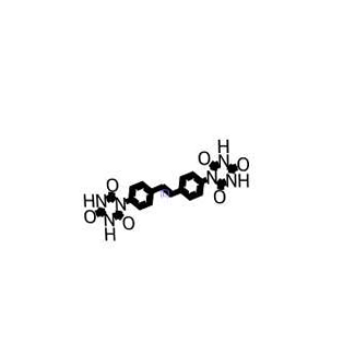 O=c1[nH]c(=O)n(-c2ccc(/C=C/c3ccc(-n4c(=O)[nH]c(=O)[nH]c4=O)cc3)cc2)c(=O)[nH]1